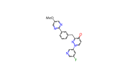 COc1cnc(-c2cccc(Cc3nn(-c4cncc(F)c4)ccc3=O)c2)nc1